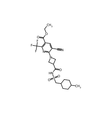 CCOC(=O)c1cc(C#N)c(N2CC(C(=O)NS(=O)(=O)CC3CCC(C)CC3)C2)nc1C(F)(F)F